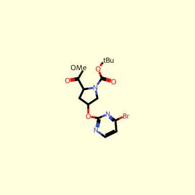 COC(=O)C1CC(Oc2nccc(Br)n2)CN1C(=O)OC(C)(C)C